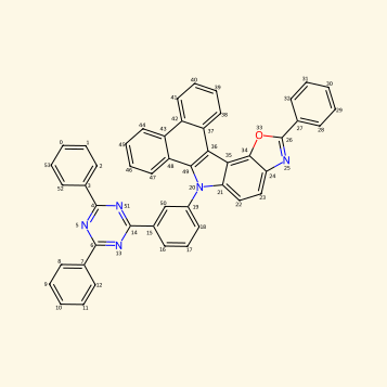 c1ccc(-c2nc(-c3ccccc3)nc(-c3cccc(-n4c5ccc6nc(-c7ccccc7)oc6c5c5c6ccccc6c6ccccc6c54)c3)n2)cc1